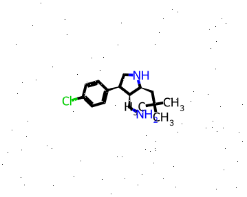 CC(C)(C)C[C@@H]1NC[C@H](c2ccc(Cl)cc2)[C@@H]1CN